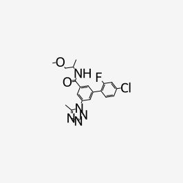 COCC(C)NC(=O)c1cc(-c2ccc(Cl)cc2F)cc(-n2nnnc2C)c1